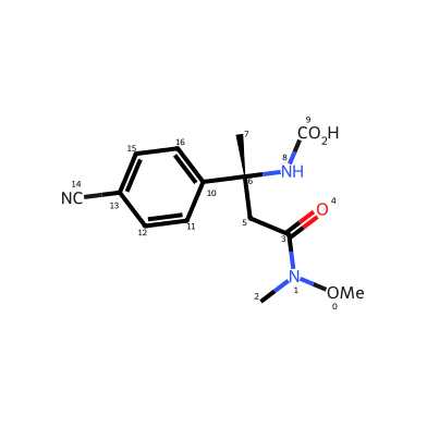 CON(C)C(=O)C[C@@](C)(NC(=O)O)c1ccc(C#N)cc1